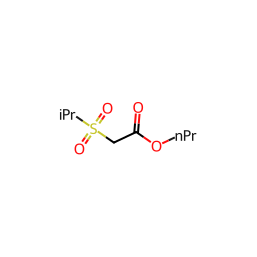 CCCOC(=O)CS(=O)(=O)C(C)C